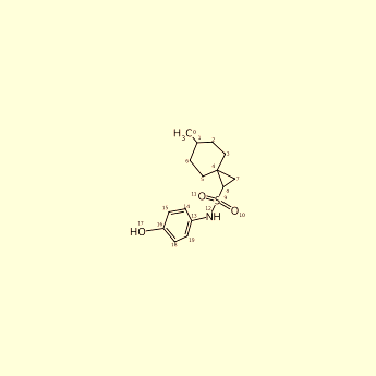 CC1CCC2(CC1)CC2S(=O)(=O)Nc1ccc(O)cc1